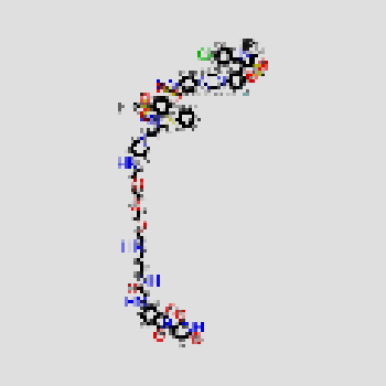 Cc1c(S(C)(=O)=O)c(-c2cc(F)cc(N3CCN(c4ccc(NS(=O)(=O)c5ccc(NC(CCN6CCC(NCCOCCOCCOCCNCCCCNC(=O)CNc7ccc8c(c7)C(=O)N(C7CCC(=O)NC7=O)C8=O)CC6)CSc6ccccc6)c(S(=O)(=O)C(F)(F)F)c5)cc4)CC3)c2)c(-c2ccc(Cl)cc2)n1C(C)C